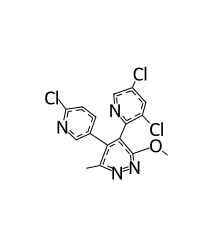 COc1nnc(C)c(-c2ccc(Cl)nc2)c1-c1ncc(Cl)cc1Cl